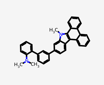 CN(C)c1ccccc1-c1cccc(-c2ccc3c4c5ccccc5c5ccccc5c4n(C)c3c2)c1